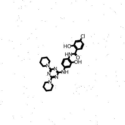 O=C(Nc1ccc(Nc2nc(N3CCCCC3)nc(N3CCCCC3)n2)cc1O)c1ccc(Cl)cc1O